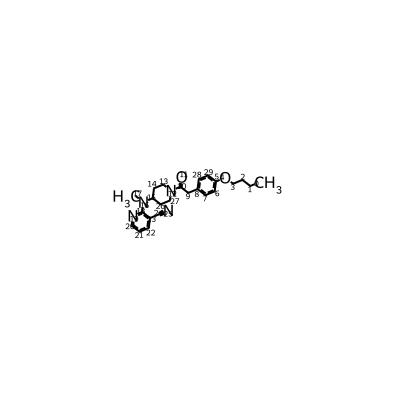 CCCCOc1ccc(CC(=O)N2CCC(N(C)c3ncccc3C#N)CC2)cc1